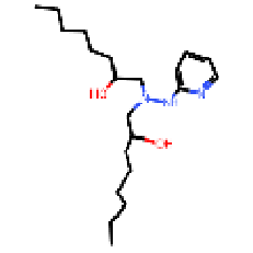 CCCCCCC(O)CN(CC(O)CCCCCC)Nc1ccccn1